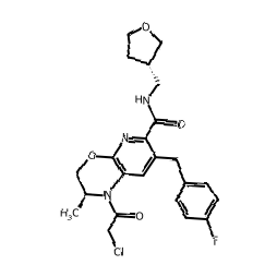 C[C@H]1COc2nc(C(=O)NC[C@@H]3CCOC3)c(Cc3ccc(F)cc3)cc2N1C(=O)CCl